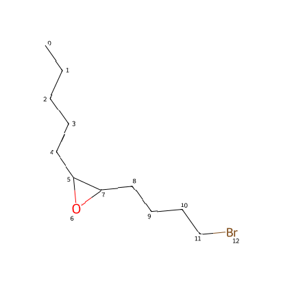 CCCCCC1OC1CCCCBr